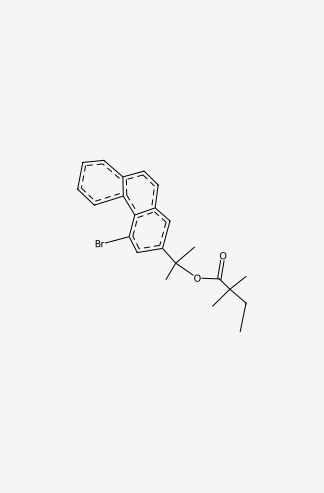 CCC(C)(C)C(=O)OC(C)(C)c1cc(Br)c2c(ccc3ccccc32)c1